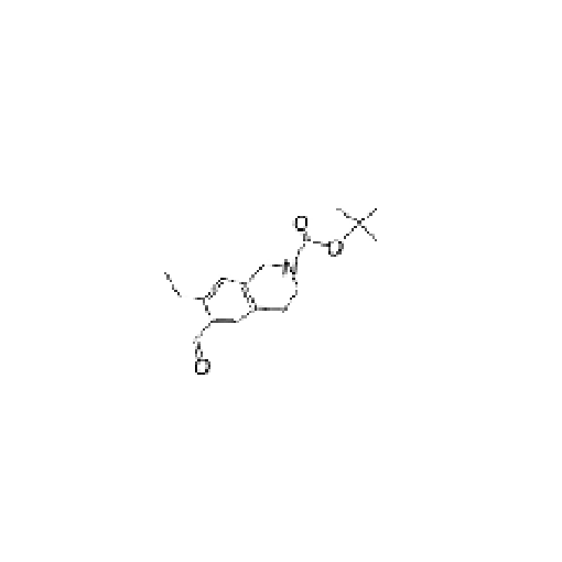 CCc1cc2c(cc1C=O)CCN(C(=O)OC(C)(C)C)C2